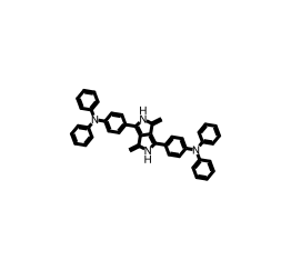 C=c1[nH]c(-c2ccc(N(c3ccccc3)c3ccccc3)cc2)c2c(=C)[nH]c(-c3ccc(N(c4ccccc4)c4ccccc4)cc3)c12